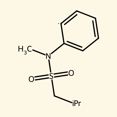 CC(C)CS(=O)(=O)N(C)c1[c]cccc1